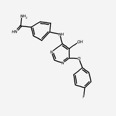 N=C(N)c1ccc(Nc2ncnc(Oc3ccc(F)cc3)c2O)cc1